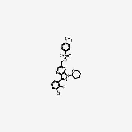 Cc1ccc(S(=O)(=O)OCc2cnc3c(-c4cccc(Cl)c4F)nn(C4CCCCO4)c3n2)cc1